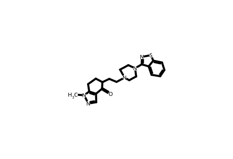 Cn1ncc2c1CCC(CCN1CCN(c3nsc4ccccc34)CC1)C2=O